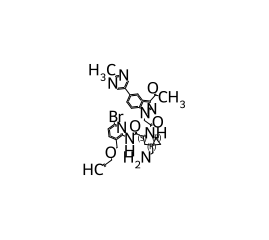 C#CCOCc1ccc(Br)nc1NC(=O)[C@@H]1C[C@@]2(CN)C[C@H]2N1C(=O)Cn1nc(C(C)=O)c2cc(-c3cnc(C)nc3)ccc21